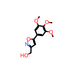 COc1cc(-c2cc(CO)no2)cc(OC)c1OC